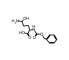 NC(O)CCC(NC(=O)OCc1ccccc1)C(=O)O